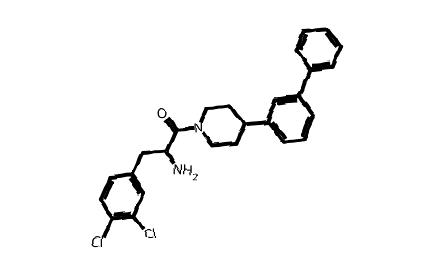 NC(Cc1ccc(Cl)c(Cl)c1)C(=O)N1CCC(c2cccc(-c3ccccc3)c2)CC1